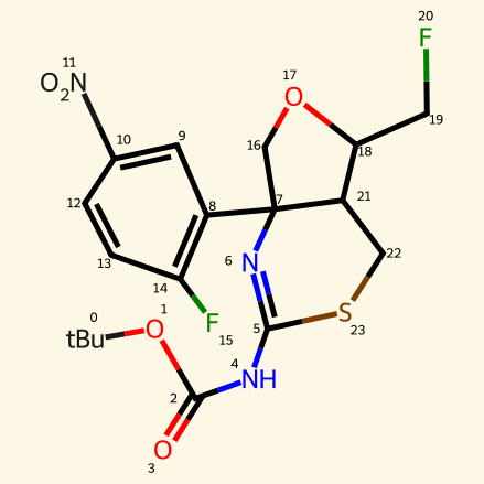 CC(C)(C)OC(=O)NC1=NC2(c3cc([N+](=O)[O-])ccc3F)COC(CF)C2CS1